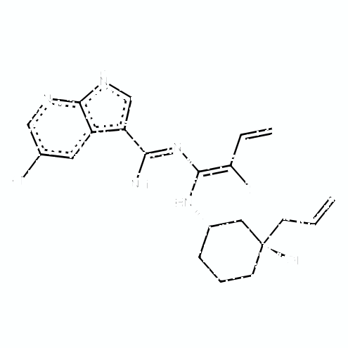 C=CC[C@]1(O)CCC[C@H](NC(/N=C(\N)c2c[nH]c3ncc(Cl)cc23)=C(\F)C=C)C1